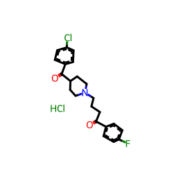 Cl.O=C(CCCN1CCC(C(=O)c2ccc(Cl)cc2)CC1)c1ccc(F)cc1